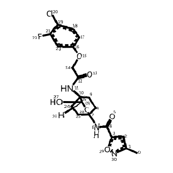 Cc1cc(C(=O)NC23CCC(NC(=O)COc4ccc(Cl)c(F)c4)(CC2)[C@@H](O)C3)on1